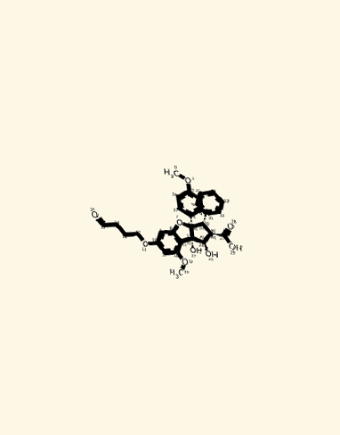 COc1ccc([C@@]23Oc4cc(OCCCC=O)cc(OC)c4[C@]2(O)[C@H](O)[C@H](C(=O)O)[C@H]3c2ccccc2)cc1